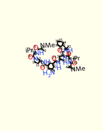 CN[C@@H](C)C(=O)N[C@H](C(=O)N1CC[C@H](NC(=O)c2cc(N)cc(C(=O)N[C@H]3C[C@@H](C(=O)N[C@H](C)c4ccccc4)N(C(=O)[C@@H](NC(=O)[C@H](C)NC)C(C)C)C3)c2)C1)C(C)C